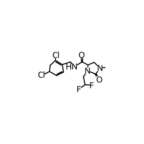 CN1CC(C(=O)NCC2=C(Cl)CC(Cl)C=C2)N(CC(F)F)C1=O